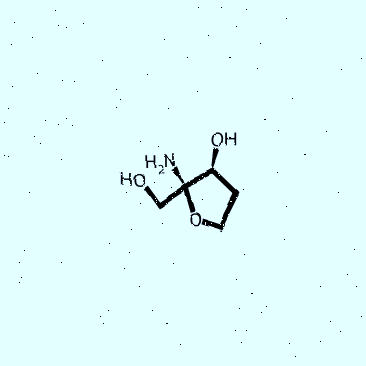 N[C@]1(CO)O[CH]C[C@@H]1O